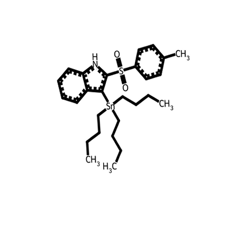 CCC[CH2][Sn]([CH2]CCC)([CH2]CCC)[c]1c(S(=O)(=O)c2ccc(C)cc2)[nH]c2ccccc12